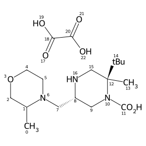 CC1COCCN1C[C@H]1CN(C(=O)O)[C@](C)(C(C)(C)C)CN1.O=C(O)C(=O)O